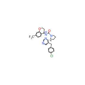 O=C(N[C@H]1CCOc2cc(C(F)(F)F)ccc21)N1CCC[C@@H]1c1ncncc1Cc1ccc(Cl)cc1